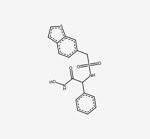 O=C(NO)C(NS(=O)(=O)Cc1ccc2ccsc2c1)c1ccccc1